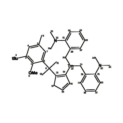 COc1c(C(C)(C)C)cc(C)cc1C(C)(C)C1=[C]([Tm]([CH2]c2ccccc2N(C)C)[CH2]c2ccccc2N(C)C)C=CC1